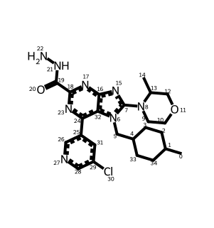 CC1CCC(Cn2c(N3CCOCC3C)nc3nc(C(=O)NN)nc(-c4cncc(Cl)c4)c32)CC1